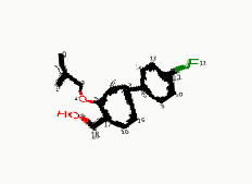 CC(C)COc1cc(-c2ccc(F)cc2)ccc1CO